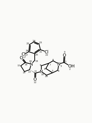 O=C(O)N1CC2CC(C1)CN(C(=O)[C@@H]1CCC(=O)N1Cc1c(Cl)cccc1Cl)C2